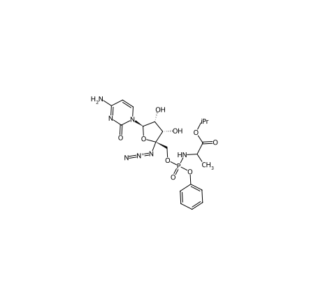 CC(C)OC(=O)C(C)NP(=O)(OC[C@@]1(N=[N+]=[N-])O[C@@H](n2ccc(N)nc2=O)[C@H](O)[C@@H]1O)Oc1ccccc1